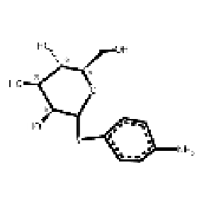 Nc1ccc(SC2O[C@H](CO)[C@@H](O)[C@H](O)[C@@H]2O)cc1